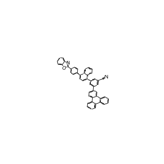 N#Cc1cc(-c2ccc3c4ccccc4c4ccccc4c3c2)cc(-c2ccc(-c3ccc(-c4nc5ccccc5o4)cc3)c3ccccc23)c1